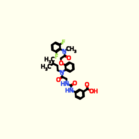 CC(C)CCN(C(=O)CNC(=O)Nc1cccc(C(=O)O)c1)c1ccccc1OCC(=O)N(C)c1c(F)cccc1F